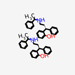 CC(NCC[C@@H](c1ccccc1)c1ccccc1O)c1ccccc1.CC(NCC[C@H](c1ccccc1)c1ccccc1O)c1ccccc1